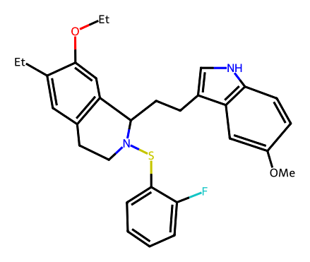 CCOc1cc2c(cc1CC)CCN(Sc1ccccc1F)C2CCc1c[nH]c2ccc(OC)cc12